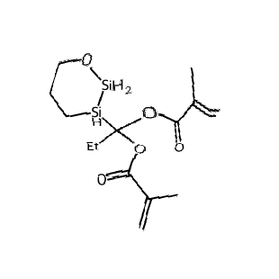 C=C(C)C(=O)OC(CC)(OC(=O)C(=C)C)[SiH]1CCCO[SiH2]1